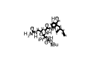 C#CCC(C#C)Cc1cc(NC(=O)[C@H](CCCNC(N)=O)NC(=O)[C@@H](NC(=O)OC(C)(C)C)C(C)C)ccc1CO